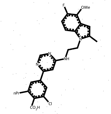 CCCc1cc(-c2cc(NCCn3c(C)cc4c(OC)c(F)ccc43)ncn2)cc(Cl)c1C(=O)O